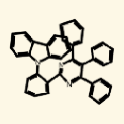 c1ccc(-c2nc(-c3ccccc3-n3c4ccccc4c4ccccc43)nc(-c3ccccc3)c2-c2ccccc2)cc1